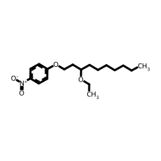 CCCCCCCC(CCOc1ccc([N+](=O)[O-])cc1)OCC